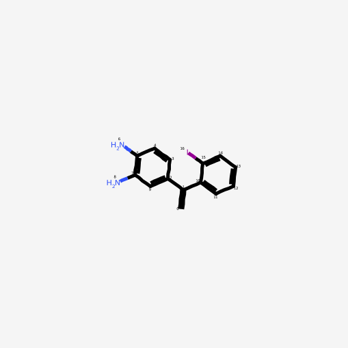 C=C(c1ccc(N)c(N)c1)c1ccccc1I